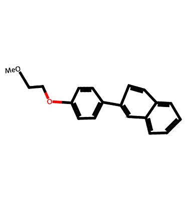 COCCOc1ccc(-c2[c]c3ccccc3cc2)cc1